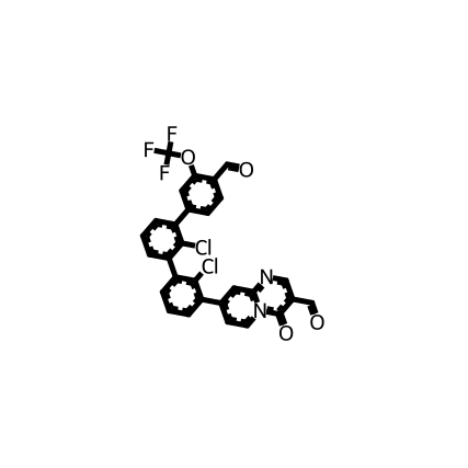 O=Cc1ccc(-c2cccc(-c3cccc(-c4ccn5c(=O)c(C=O)cnc5c4)c3Cl)c2Cl)cc1OC(F)(F)F